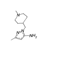 Cc1cc(N)n(CC2CCN(C)CC2)n1